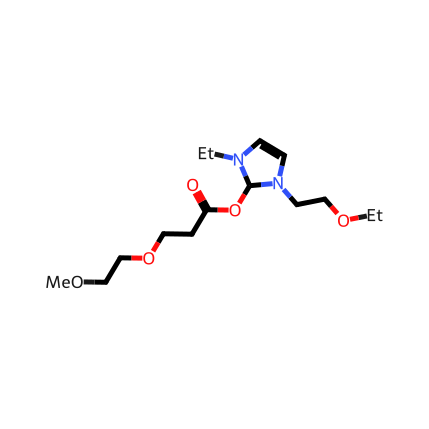 CCOCCN1C=CN(CC)C1OC(=O)CCOCCOC